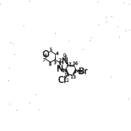 Cn1c(C2CCOCC2)nc2c(Cl)cc(Br)cc21